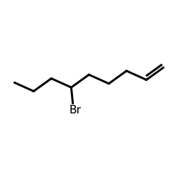 C=CCCCC(Br)CCC